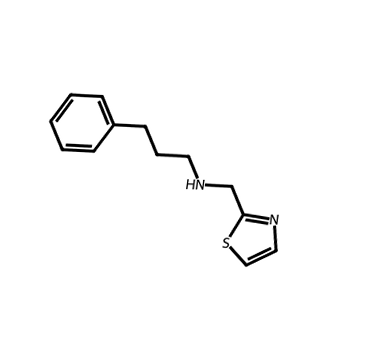 c1ccc(CCCNCc2nccs2)cc1